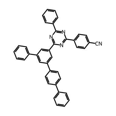 N#Cc1ccc(-c2nc(-c3ccccc3)nc(-c3cc(-c4ccccc4)cc(-c4ccc(-c5ccccc5)cc4)c3)n2)cc1